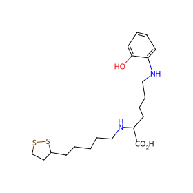 O=C(O)C(CCCCNc1ccccc1O)NCCCCCC1CCSS1